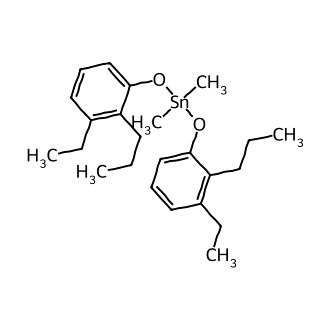 CCCc1c(CC)cccc1[O][Sn]([CH3])([CH3])[O]c1cccc(CC)c1CCC